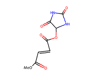 COC(=O)/C=C/C(=O)OC1NC(=O)NC1=O